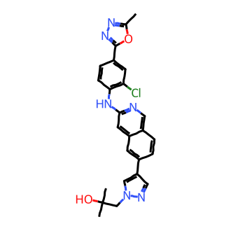 Cc1nnc(-c2ccc(Nc3cc4cc(-c5cnn(CC(C)(C)O)c5)ccc4cn3)c(Cl)c2)o1